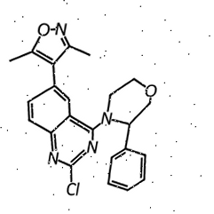 Cc1noc(C)c1-c1ccc2nc(Cl)nc(N3CCOCC3c3ccccc3)c2c1